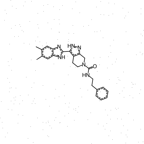 Cc1cc2nc(-c3[nH]nc4c3CCN(C(=O)NCCc3ccccc3)C4)[nH]c2cc1C